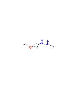 CC(C)NCN[C@H]1C[C@@H](OC(C)(C)C)C1